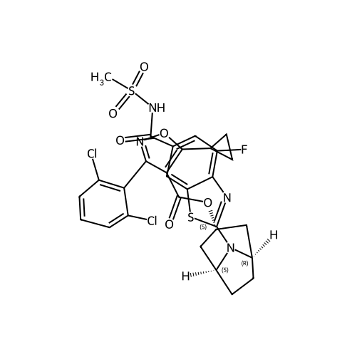 CS(=O)(=O)NC(=O)c1cc(F)c2nc(N3[C@@H]4CC[C@H]3C[C@H](OC(=O)c3c(-c5c(Cl)cccc5Cl)noc3C3CC3)C4)sc2c1